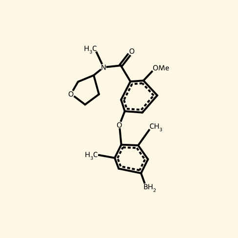 Bc1cc(C)c(Oc2ccc(OC)c(C(=O)N(C)C3CCOC3)c2)c(C)c1